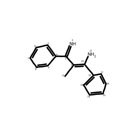 C/C(C(=N)c1ccccc1)=C(/N)c1ccccc1